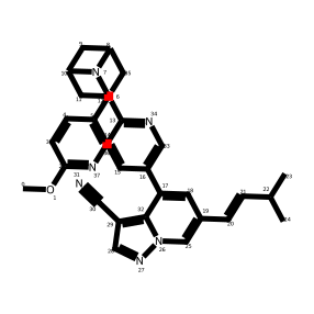 COc1ccc(CN2C3CC2CN(c2ccc(-c4cc(/C=C/C(C)C)cn5ncc(C#N)c45)cn2)C3)cn1